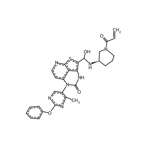 C=CC(=O)N1CCC[C@@H](NC(O)c2sc3nccc4c3c2NC(=O)N4c2cnc(Oc3ccccc3)nc2C)C1